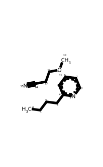 CCCCc1ccccn1.COCCC#N